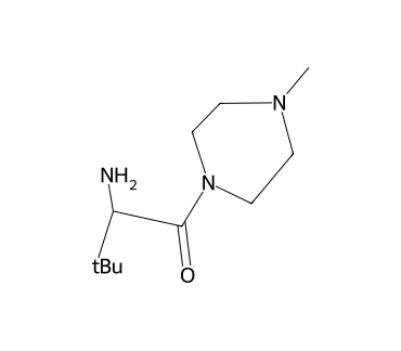 CN1CCN(C(=O)C(N)C(C)(C)C)CC1